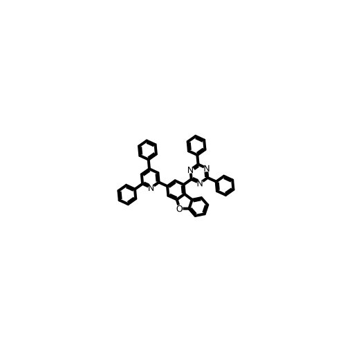 c1ccc(-c2cc(-c3ccccc3)nc(-c3cc(-c4nc(-c5ccccc5)nc(-c5ccccc5)n4)c4c(c3)oc3ccccc34)c2)cc1